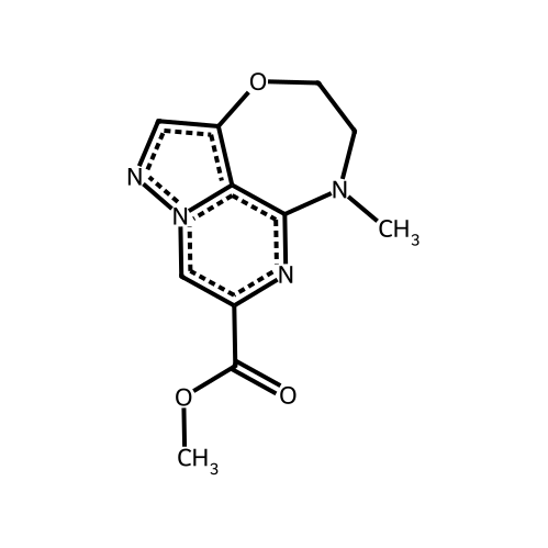 COC(=O)c1cn2ncc3c2c(n1)N(C)CCO3